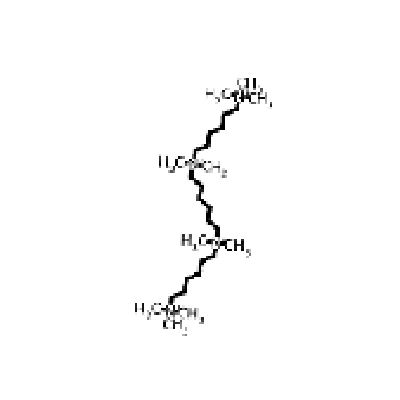 C[N+](C)(C)CCCCCC[N+](C)(C)CCCCCC[N+](C)(C)CCCCCC[N+](C)(C)C